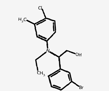 CCN(c1ccc(Cl)c(C)c1)C(CO)c1cccc(Br)c1